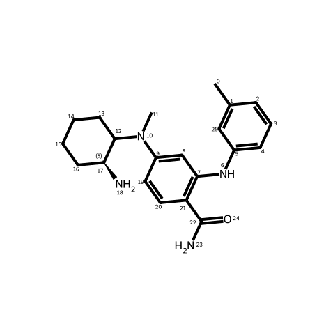 Cc1cccc(Nc2cc(N(C)C3CCCC[C@@H]3N)ccc2C(N)=O)c1